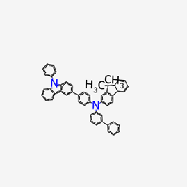 CC1(C)c2cc(N(c3ccc(-c4ccc5c(c4)c4ccccc4n5-c4ccccc4)cc3)c3cccc(-c4ccccc4)c3)ccc2C2C=CC=CC21